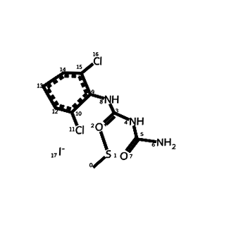 CS[O+]=C(NC(N)=O)Nc1c(Cl)cccc1Cl.[I-]